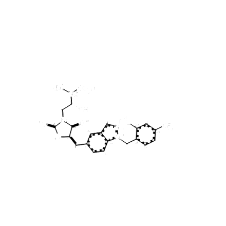 C[C@H](CN1C(=O)SC(=Cc2ccc3c(cnn3Cc3ccc(C(F)(F)F)cc3C(F)(F)F)c2)C1=O)N(C(=O)O)C(C)(C)C